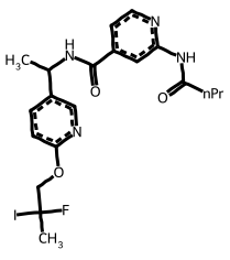 CCCC(=O)Nc1cc(C(=O)NC(C)c2ccc(OCC(C)(F)I)nc2)ccn1